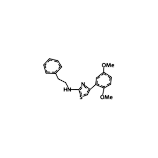 COc1ccc(OC)c(-c2csc(NCCc3ccccc3)n2)c1